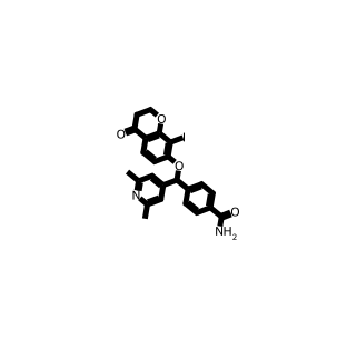 Cc1cc(C(Oc2ccc3c(c2I)OCCC3=O)c2ccc(C(N)=O)cc2)cc(C)n1